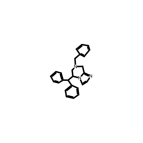 c1ccc(CN2Cc3nccn3C(C(c3ccccc3)c3ccccc3)C2)cc1